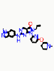 C=CCn1c(=O)c2cnc(Nc3ccc4c(cnn4C)c3)nc2n1-c1cccc(O[C@H]2CCCN(C)C2)n1